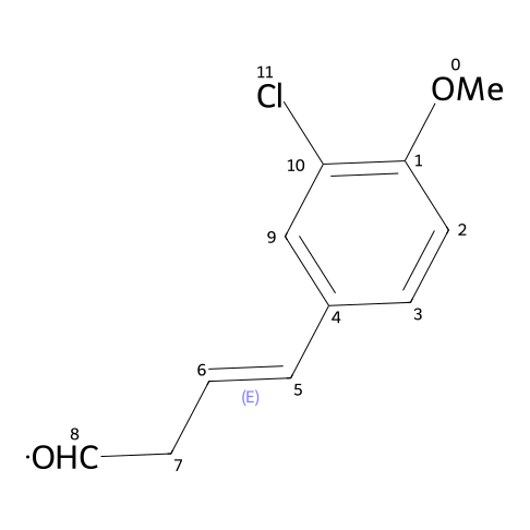 COc1ccc(/C=C/C[C]=O)cc1Cl